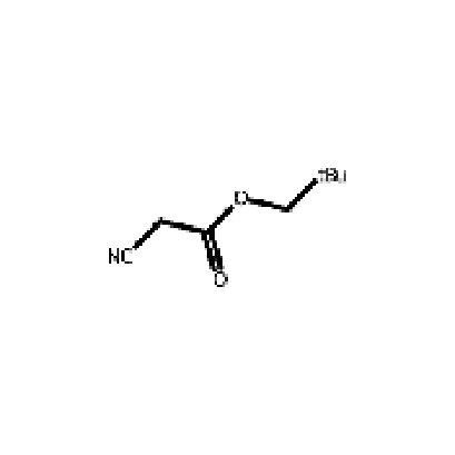 CC(C)(C)COC(=O)CC#N